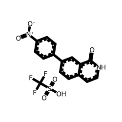 O=S(=O)(O)C(F)(F)F.O=c1[nH]ccc2ccc(-c3ccc([N+](=O)[O-])cc3)cc12